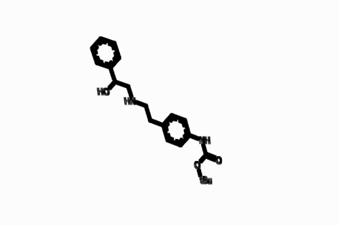 CC(C)(C)OC(=O)Nc1ccc(CCNCC(O)c2ccccc2)cc1